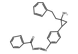 NC1(CCc2ccccc2)CC1c1ccc(N=[N+]=NC(=O)c2ccccc2)cc1